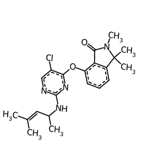 CC(C)=CC(C)Nc1ncc(Cl)c(Oc2cccc3c2C(=O)N(C)C3(C)C)n1